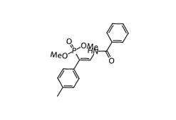 COP(=O)(OC)C(=CNC(=O)c1ccccc1)c1ccc(C)cc1